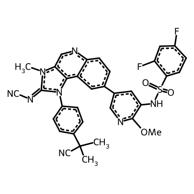 COc1ncc(-c2ccc3ncc4c(c3c2)n(-c2ccc(C(C)(C)C#N)cc2)c(=NC#N)n4C)cc1NS(=O)(=O)c1ccc(F)cc1F